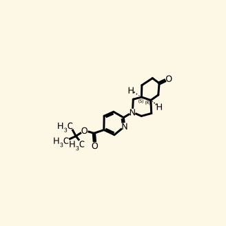 CC(C)(C)OC(=O)c1ccc(N2CC[C@@H]3CC(=O)CC[C@@H]3C2)nc1